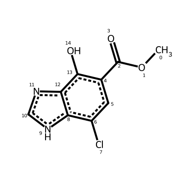 COC(=O)c1cc(Cl)c2[nH]cnc2c1O